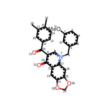 COc1cccc(Cn2cc(C(=O)c3ccc(C)c(C)c3)c(=O)c3cc4c(cc32)OCO4)c1